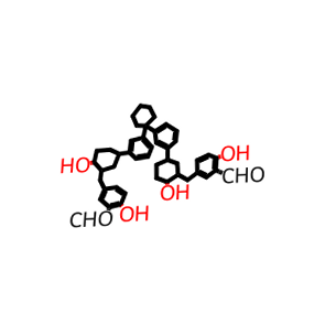 O=Cc1cc(CC2CC(c3cccc(C4(c5cccc(C6CCC(O)C(Cc7ccc(O)c(C=O)c7)C6)c5)CCCCC4)c3)CCC2O)ccc1O